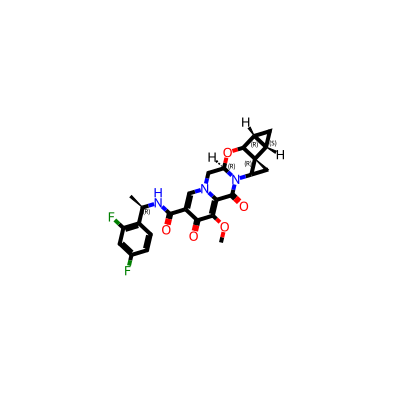 COc1c2n(cc(C(=O)N[C@H](C)c3ccc(F)cc3F)c1=O)C[C@H]1OC3[C@@H]4C[C@@H]4[C@@]34CC4N1C2=O